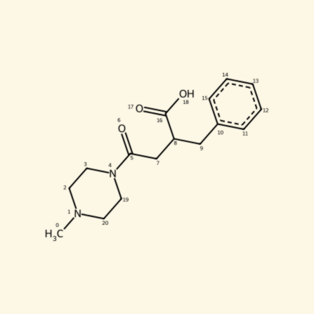 CN1CCN(C(=O)CC(Cc2ccccc2)C(=O)O)CC1